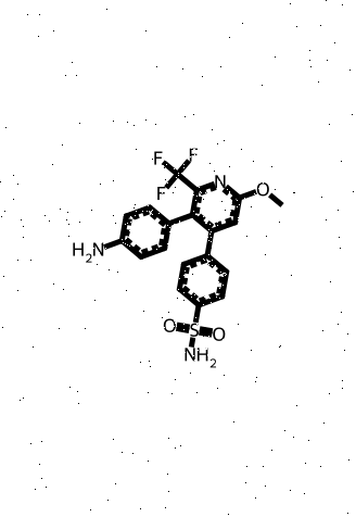 COc1cc(-c2ccc(S(N)(=O)=O)cc2)c(-c2ccc(N)cc2)c(C(F)(F)F)n1